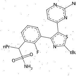 CCCC(c1cccc(-c2nc(C(C)(C)C)sc2-c2ccnc(N)n2)c1F)S(N)(=O)=O